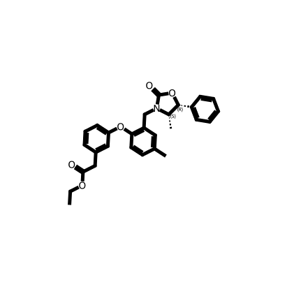 CCOC(=O)Cc1cccc(Oc2ccc(C)cc2CN2C(=O)O[C@H](c3ccccc3)[C@@H]2C)c1